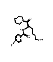 O=C(NC(CCCCO)C(=O)N1CCCCC1)c1ccc(F)cc1